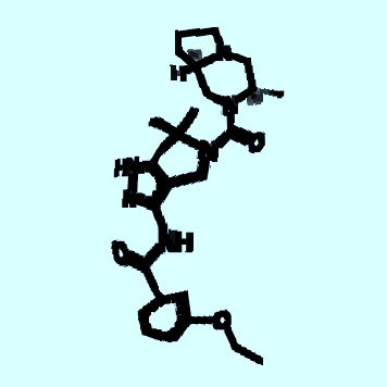 CCOc1cccc(C(=O)Nc2n[nH]c3c2CN(C(=O)N2C[C@@H]4CCCN4C[C@@H]2C)C3(C)C)c1